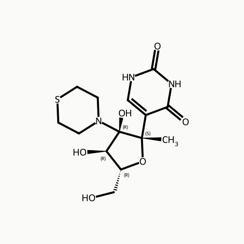 C[C@@]1(c2c[nH]c(=O)[nH]c2=O)O[C@H](CO)[C@@H](O)[C@]1(O)N1CCSCC1